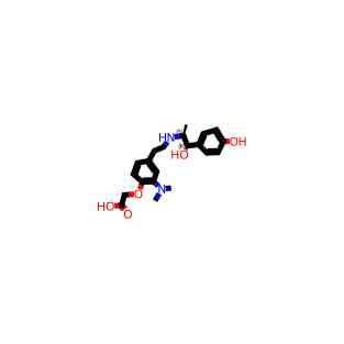 C[C@H](NCCc1ccc(OCC(=O)O)c(N(C)C)c1)[C@H](O)c1ccc(O)cc1